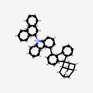 c1ccc2c(c1)-c1c(-c3cccc4c3c3ccccc3n4-c3cc4ccccc4c4ccccc34)cccc1C21C2CC3CC4CC1C42C3